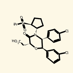 CC(C)S(=O)(=O)[C@H]1CCC[C@@H]1N1C(=O)[C@@H](CC(=O)O)O[C@H](c2cccc(Cl)c2)[C@H]1c1ccc(Cl)cc1